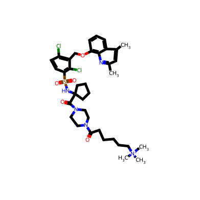 Cc1cc(C)c2cccc(OCc3c(Cl)ccc(S(=O)(=O)NC4(C(=O)N5CCN(C(=O)CCCCC[N+](C)(C)C)CC5)CCCC4)c3Cl)c2n1